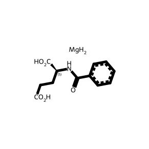 O=C(O)CC[C@H](NC(=O)c1ccccc1)C(=O)O.[MgH2]